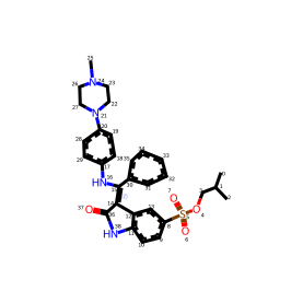 CC(C)COS(=O)(=O)c1ccc2c(c1)/C(=C(/Nc1ccc(N3CCN(C)CC3)cc1)c1ccccc1)C(=O)N2